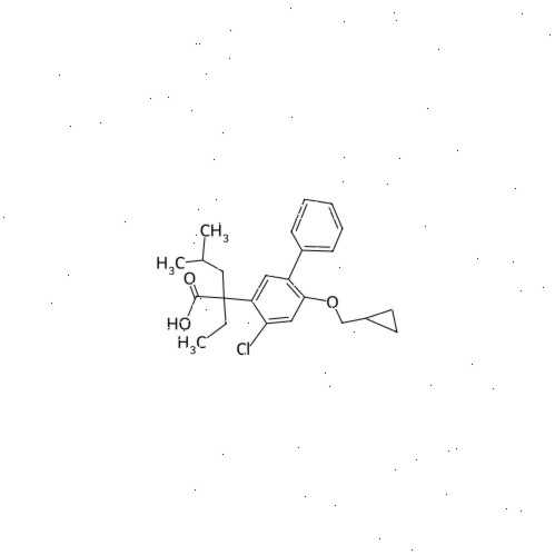 CCC(CC(C)C)(C(=O)O)c1cc(-c2ccccc2)c(OCC2CC2)cc1Cl